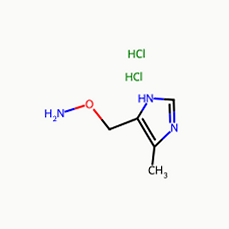 Cc1nc[nH]c1CON.Cl.Cl